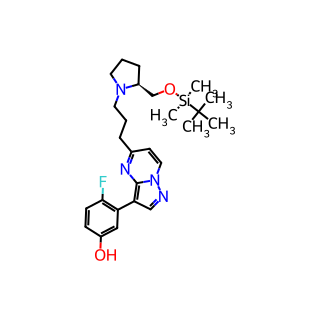 CC(C)(C)[Si](C)(C)OC[C@@H]1CCCN1CCCc1ccn2ncc(-c3cc(O)ccc3F)c2n1